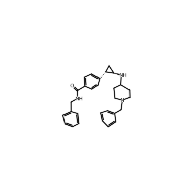 O=C(NCc1ccccc1)c1ccc([C@@H]2C[C@H]2NC2CCN(Cc3ccccc3)CC2)cc1